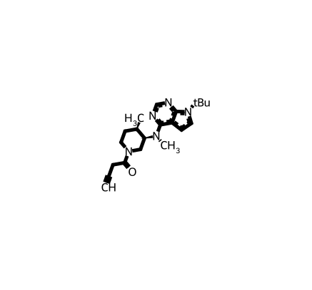 C#CCC(=O)N1CC[C@@H](C)[C@@H](N(C)c2ncnc3c2ccn3C(C)(C)C)C1